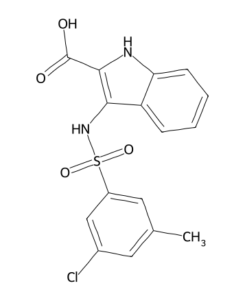 Cc1cc(Cl)cc(S(=O)(=O)Nc2c(C(=O)O)[nH]c3ccccc23)c1